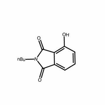 CCCCN1C(=O)c2cccc(O)c2C1=O